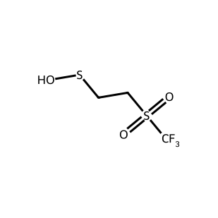 O=S(=O)(CCSO)C(F)(F)F